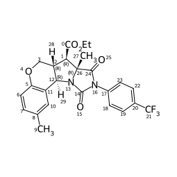 CCOC(=O)[C@@H]1[C@H]2COc3ccc(C)cc3[C@@H]2N2C(=O)N(c3ccc(C(F)(F)F)cc3)C(=O)[C@@]12C